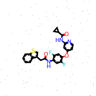 O=C(Cc1csc2ccccc12)Nc1cc(F)c(Oc2ccnc(NC(=O)C3CC3)c2)cc1F